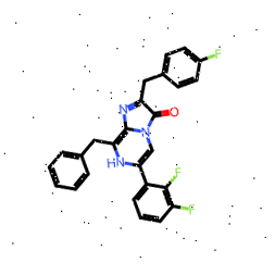 O=c1c(Cc2ccc(F)cc2)nc2c(Cc3ccccc3)[nH]c(-c3cccc(F)c3F)cn1-2